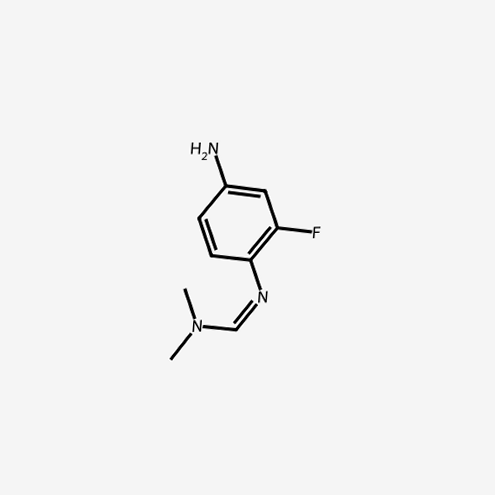 CN(C)/C=N\c1ccc(N)cc1F